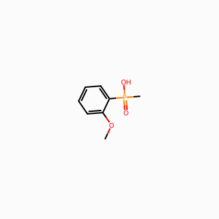 COc1ccccc1P(C)(=O)O